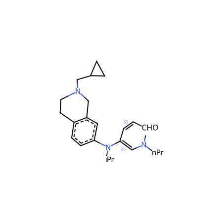 CCCN(C)/C=C(\C=C/C=O)N(c1ccc2c(c1)CN(CC1CC1)CC2)C(C)C